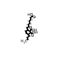 CCCCC1C=CC(CCCCCCCC(=O)O)C(C(=O)O)C1C(=O)O